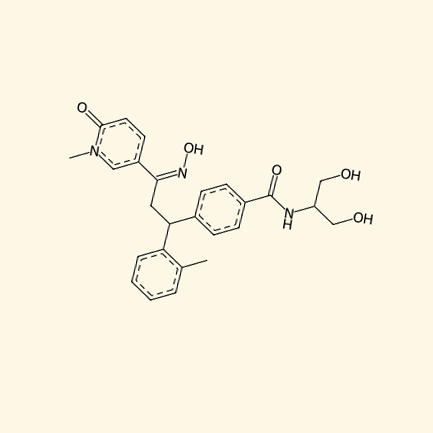 Cc1ccccc1C(CC(=NO)c1ccc(=O)n(C)c1)c1ccc(C(=O)NC(CO)CO)cc1